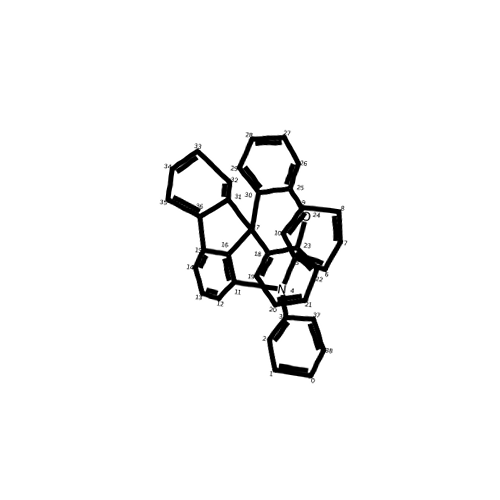 c1ccc(N(c2ccccc2)c2cccc3c2C2(c4ccccc4Oc4ccccc42)c2ccccc2-3)cc1